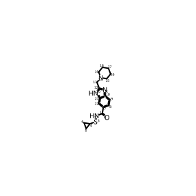 O=C(NSC1CC1)c1ccc2nc(CN3CCCCC3)[nH]c2c1